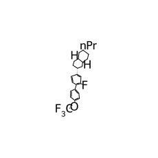 CCCC1CC[C@@H]2C[C@H](c3ccc(-c4ccc(OC(F)(F)F)cc4)c(F)c3)CC[C@@H]2C1